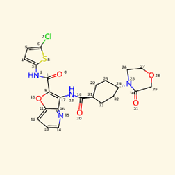 O=C(Nc1ccc(Cl)s1)c1oc2cccnc2c1NC(=O)[C@H]1CC[C@H](N2CCOCC2=O)CC1